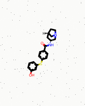 O=C(N[C@@H]1C[C@@H]2CCN(C2)C1)c1ccc(Sc2cccc(O)c2)cc1